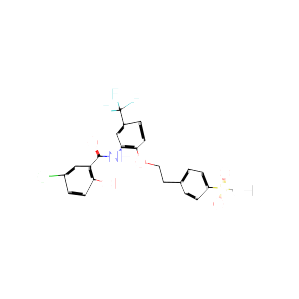 CS(=O)(=O)c1ccc(CCOc2ccc(C(F)(F)F)cc2NC(=O)c2cc(Cl)ccc2O)cc1